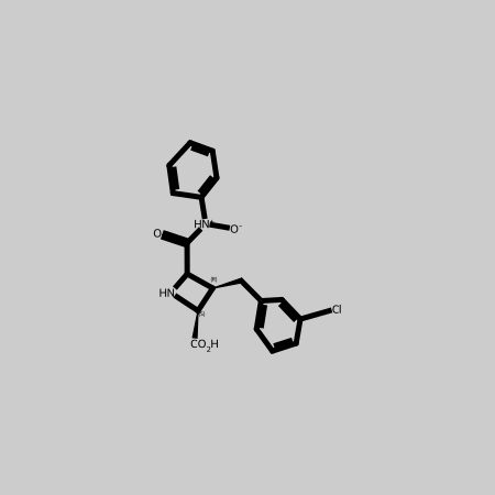 O=C(O)[C@H]1NC(C(=O)[NH+]([O-])c2ccccc2)[C@H]1Cc1cccc(Cl)c1